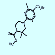 CCOC(=O)c1cnc(N2CCN(C(=O)OC(C)(C)C)C(C)(C)C2)nc1C